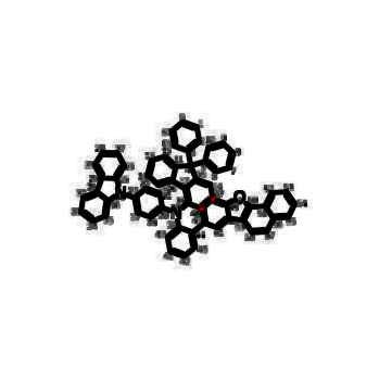 c1ccc(C2(c3ccccc3)c3ccccc3-c3c(N(c4ccc(-n5c6ccccc6c6ccccc65)cc4)c4ccccc4-c4ccc5oc6c7ccccc7ccc6c5c4)cccc32)cc1